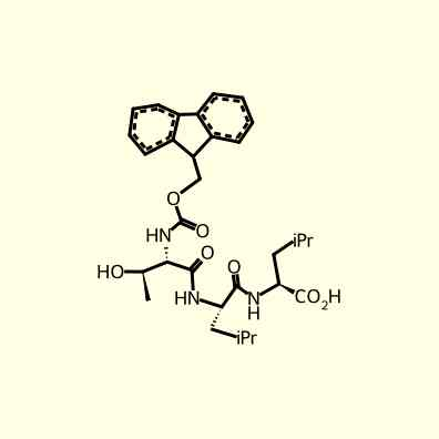 CC(C)C[C@H](NC(=O)[C@H](CC(C)C)NC(=O)[C@@H](NC(=O)OCC1c2ccccc2-c2ccccc21)[C@@H](C)O)C(=O)O